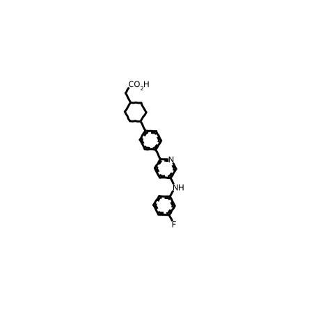 O=C(O)CC1CCC(c2ccc(-c3ccc(Nc4cccc(F)c4)cn3)cc2)CC1